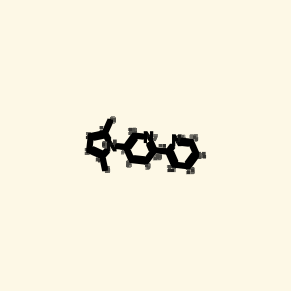 Cc1ccc(C)n1-c1ccc(-c2ccccn2)nc1